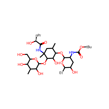 CCC[C@H](O)C(=O)NC1(C)CC(C)C(OC2OC(CC)C(O)CC2NC(=O)OC(C)(C)C)C(O)C1OC1OC(CO)C(O)C(C)C1O